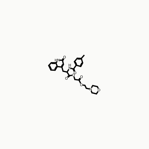 Cc1ccc(C(=O)NC(Cc2cc(=O)[nH]c3ccccc23)C(=O)OCC(=O)OCCN2CCOCC2)cc1